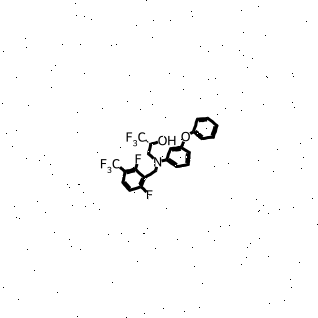 O[C@H](CN(Cc1c(F)ccc(C(F)(F)F)c1F)c1cccc(Oc2ccccc2)c1)C(F)(F)F